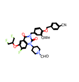 COc1cc(Cn2c(=O)c3cc(OC(CF)CF)c(F)cc3n(C3CCN(C=O)CC3)c2=O)ccc1OCc1ccc(C#N)cc1